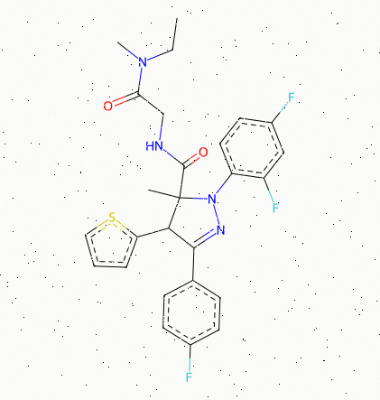 CCN(C)C(=O)CNC(=O)C1(C)C(c2cccs2)C(c2ccc(F)cc2)=NN1c1ccc(F)cc1F